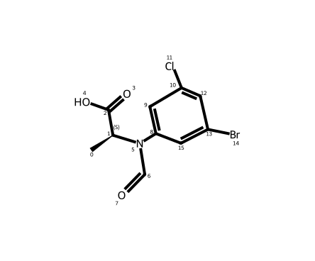 C[C@@H](C(=O)O)N(C=O)c1cc(Cl)cc(Br)c1